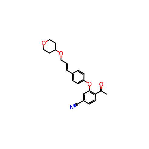 CC(=O)c1ccc(C#N)cc1Oc1ccc(C=CCOC2CCOCC2)cc1